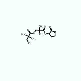 CCC(C)(C)C(=O)OCC(C)(C)C(=O)OC1CCOC1=O